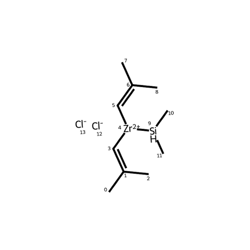 CC(C)=[CH][Zr+2]([CH]=C(C)C)[SiH](C)C.[Cl-].[Cl-]